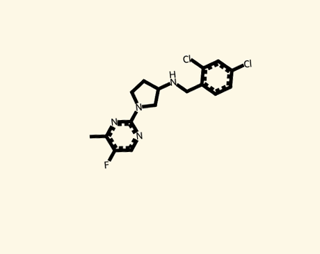 Cc1nc(N2CCC(NCc3ccc(Cl)cc3Cl)C2)ncc1F